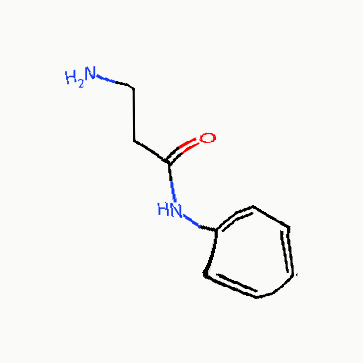 NCCC(=O)Nc1cc[c]cc1